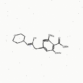 COC(=O)c1c(OC)cc(C/C(C#N)=C/N2CCOCC2)cc1OC